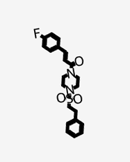 O=C(/C=C/c1ccc(F)cc1)N1CCN(S(=O)(=O)CCc2ccccc2)CC1